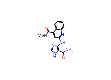 CNC(=O)c1cc(Nc2nc[nH]c2C(N)=O)nc2ccccc12